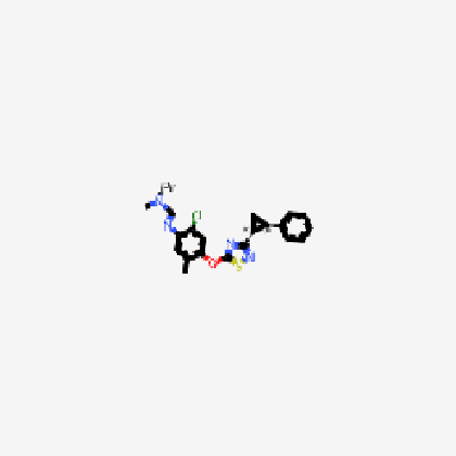 Cc1cc(N=CN(C)C(C)C)c(Cl)cc1Oc1nc([C@@H]2C[C@H]2c2ccccc2)ns1